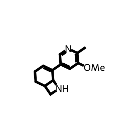 COc1cc(C2=CCCC3CNC23)cnc1C